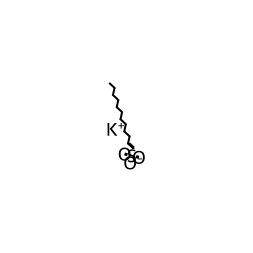 CCCCCCCCCCC=CS(=O)(=O)[O-].[K+]